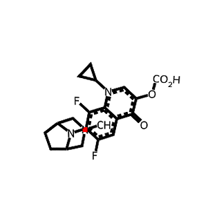 CN1CC2CCC(C1)N2c1c(F)cc2c(=O)c(OC(=O)O)cn(C3CC3)c2c1F